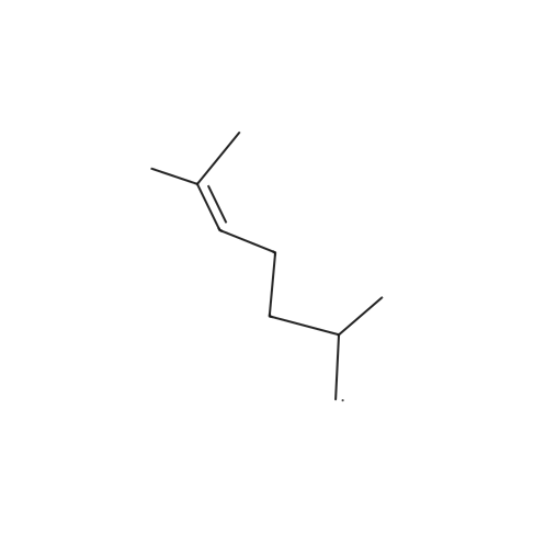 [CH2]C(C)CCC=C(C)C